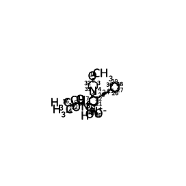 COC1CCN(c2cc(NC(=O)OC(C)(C)C)c([N+](=O)[O-])cc2C#Cc2ccccc2)CC1